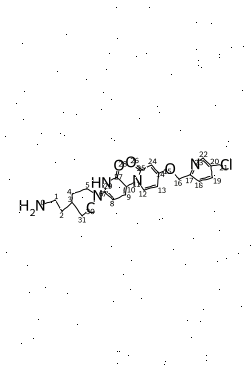 NCCC1CCN(c2ccc(-n3ccc(OCc4ccc(Cl)cn4)cc3=O)c(=O)[nH]2)CC1